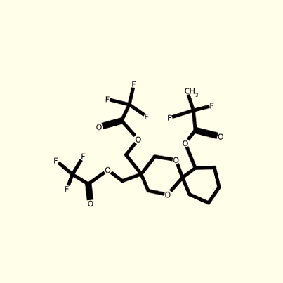 CC(F)(F)C(=O)OC1CCCCC12OCC(COC(=O)C(F)(F)F)(COC(=O)C(F)(F)F)CO2